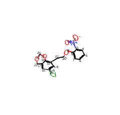 O=[N+]([O-])c1ccccc1OCCc1cc(Cl)cc2c1OCOC2